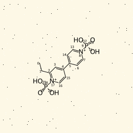 CCc1cc(-c2cc[n+](P(=O)(O)O)cc2)cc[n+]1P(=O)(O)O